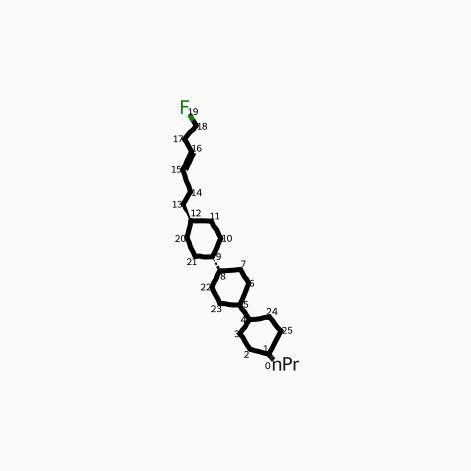 CCCC1CCC(C2CCC([C@H]3CC[C@H](CC/C=C/CCF)CC3)CC2)CC1